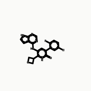 O=c1[nH]c(C2COC2)c(Nc2ncnc3[nH]ccc23)cc1-c1cc(Cl)ccc1F